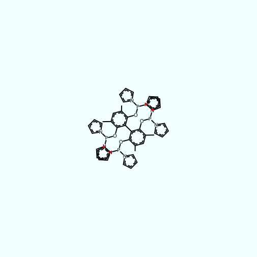 Cc1cc(C)c(OP(n2cccc2)n2cccc2)c(-c2c(OP(n3cccc3)n3cccc3)c(C)cc(C)c2OP(n2cccc2)n2cccc2)c1OP(n1cccc1)n1cccc1